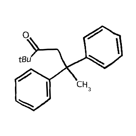 CC(C)(C)C(=O)CC(C)(c1ccccc1)c1ccccc1